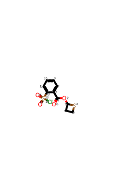 O=C(OC1CCS1)c1ccccc1S(=O)(=O)Cl